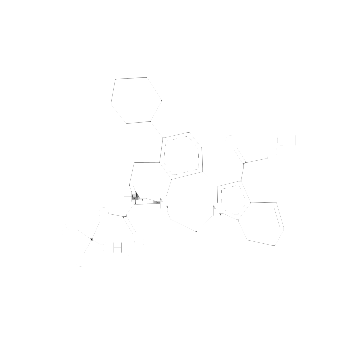 COC(=O)c1c2c(n3c1-c1ccc(C4CCCCC4)c4c1[N+](NC(=O)OC(C)(C)C)(C=CC4)CC3)CCC=C2